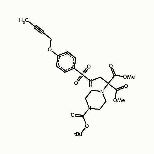 CC#CCOc1ccc(S(=O)(=O)NCC(C(=O)OC)(C(=O)OC)N2CCN(C(=O)OC(C)(C)C)CC2)cc1